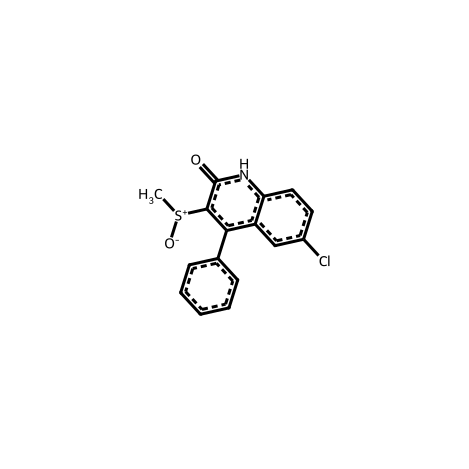 C[S+]([O-])c1c(-c2ccccc2)c2cc(Cl)ccc2[nH]c1=O